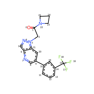 O=C(Cn1ncc2ncc(-c3cccc(C(F)(F)F)c3)cc21)N1CCC1